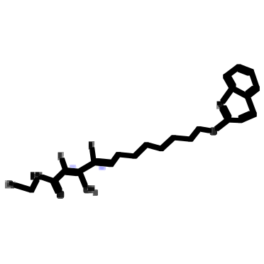 CC(/C(F)=C/CCCCCCCOc1ccc2ccccc2n1)=C(/F)C(=O)NCC(C)C